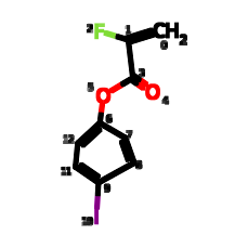 C=C(F)C(=O)Oc1ccc(I)cc1